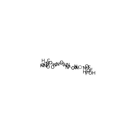 Cc1ccc(C(=O)N2CCN(C3COC4(CCN(c5ncc(-c6ccc7cn([C@H]8CC[C@H](CNC(=O)c9cc(F)c(O)c(F)c9F)CC8)nc7c6)cn5)CC4)C3)CC2)cc1N1CCC(=O)NC1=O